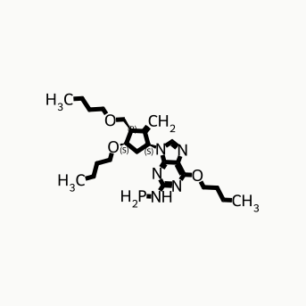 C=C1[C@H](COCCCC)[C@@H](OCCCC)C[C@@H]1n1cnc2c(OCCCC)nc(NP)nc21